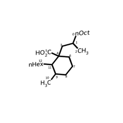 CCCCCCCCC(C)CC1(C(=O)O)CCCC(C)C1CCCCCC